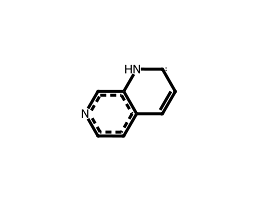 [C]1C=Cc2ccncc2N1